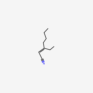 CCCC/C(=C/C#N)CC